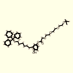 CC(C)(C)OCCOCCOCCOCC(=O)Oc1ccc(O)c(CCCCCCSC(c2ccccc2)(c2ccccc2)c2ccccc2)c1